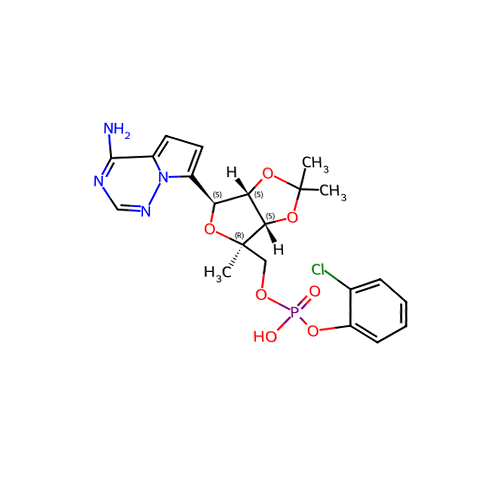 CC1(C)O[C@H]2[C@H](c3ccc4c(N)ncnn34)O[C@](C)(COP(=O)(O)Oc3ccccc3Cl)[C@H]2O1